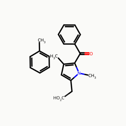 Cc1cc(CC(=O)O)n(C)c1C(=O)c1ccccc1.Cc1ccccc1